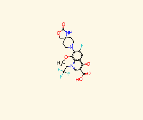 COc1c(N2CCC3(CC2)COC(=O)N3)c(F)cc2c(=O)c(C(=O)O)cn(CC(F)(F)F)c12